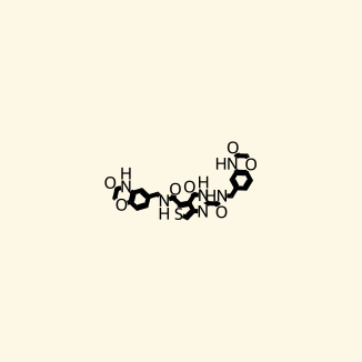 O=C1COc2ccc(CNC(=O)c3nc4csc(C(=O)NCc5ccc6c(c5)NC(=O)CO6)c4c(=O)[nH]3)cc2N1